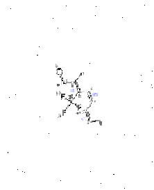 C\C=C/C=C\C(=C(/C)N=O)C(F)(F)F